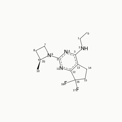 CCNc1nc(N2CC[C@@H]2C)nc2c1CCC2(F)F